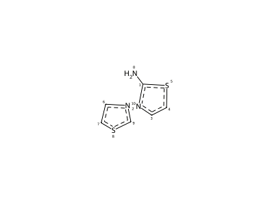 Nc1nccs1.c1cscn1